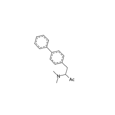 CC(=O)C(Cc1ccc(-c2ccccc2)cc1)N(C)C